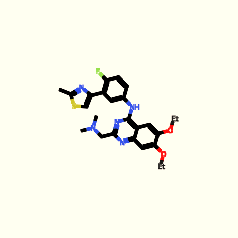 CCOc1cc2nc(CN(C)C)nc(Nc3ccc(F)c(-c4csc(C)n4)c3)c2cc1OCC